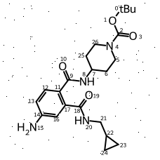 CC(C)(C)OC(=O)N1CCC(NC(=O)c2ccc(N)cc2C(=O)NCC2CC2)CC1